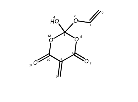 C=COC1(O)OC(=O)C(=C)C(=O)O1